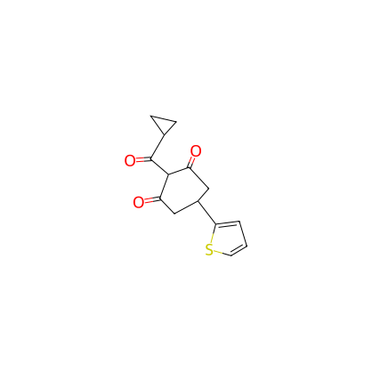 O=C1CC(c2cccs2)CC(=O)C1C(=O)C1CC1